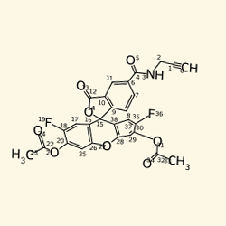 C#CCNC(=O)c1ccc2c(c1)C(=O)OC21c2cc(F)c(OC(C)=O)cc2Oc2cc(OC(C)=O)c(F)cc21